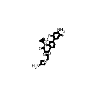 Cc1c(-c2cc(F)c(N)cc2F)ccc2c3oc(CN4CC(N)C4)nc3c(=O)n(C3CC3)c12